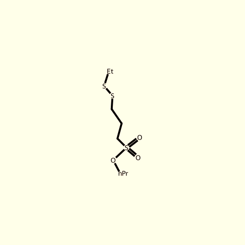 CCCOS(=O)(=O)CCCSSCC